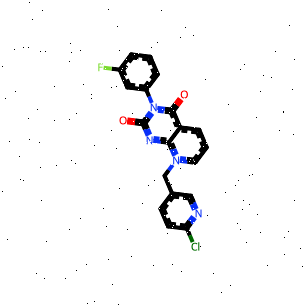 O=c1nc2n(Cc3ccc(Cl)nc3)cccc-2c(=O)n1-c1cccc(F)c1